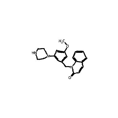 COc1cc(Cn2c(=O)ccc3ccccc32)cc(N2CCNCC2)c1